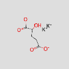 O=C([O-])CCC(O)C(=O)[O-].[K+].[K+]